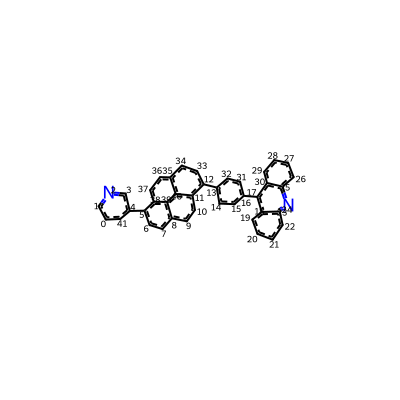 c1cncc(-c2ccc3ccc4c(-c5ccc(-c6c7ccccc7nc7ccccc67)cc5)ccc5ccc2c3c54)c1